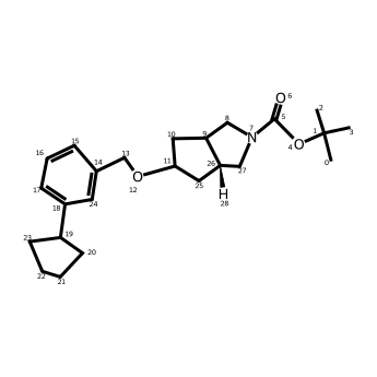 CC(C)(C)OC(=O)N1CC2CC(OCc3cccc(C4CCCC4)c3)C[C@H]2C1